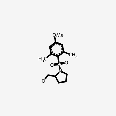 COc1cc(C)c(S(=O)(=O)N2CCCC2C[O])c(C)c1